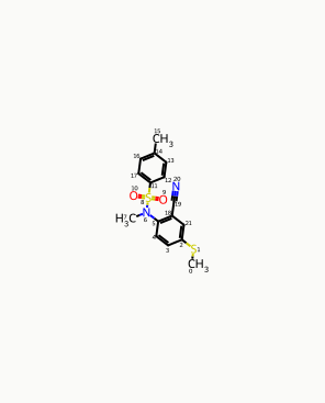 CSc1ccc(N(C)S(=O)(=O)c2ccc(C)cc2)c(C#N)c1